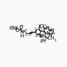 CC(C)[C@@H](C)Nc1c(-c2c(F)cc(C#CCCNC(=O)OC(C)(C)C)cc2F)c(Cl)nc2ncnn12